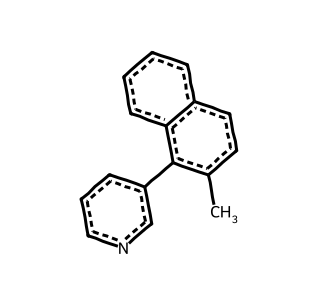 Cc1ccc2ccccc2c1-c1cccnc1